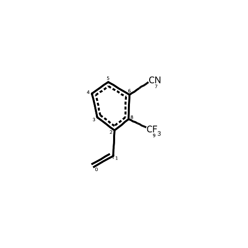 C=[C]c1cccc(C#N)c1C(F)(F)F